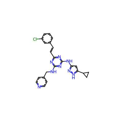 Clc1cccc(/C=C/c2nc(NCc3ccncc3)nc(Nc3cc(C4CC4)[nH]n3)n2)c1